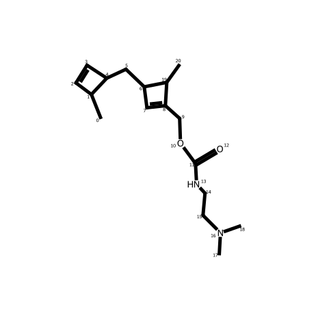 CC1C=CC1CC1C=C(COC(=O)NCCN(C)C)C1C